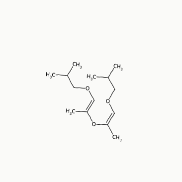 CC(=COCC(C)C)OC(C)=COCC(C)C